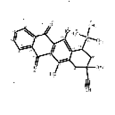 C#CC1(OC(C)=O)Cc2c(O)c3c(c(O)c2C([Si](C)(C)C)C1)C(=O)c1ccccc1C3=O